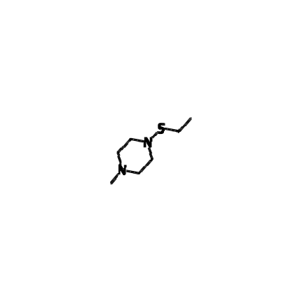 CCSN1CCN(C)CC1